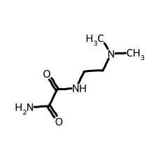 CN(C)CCNC(=O)C(N)=O